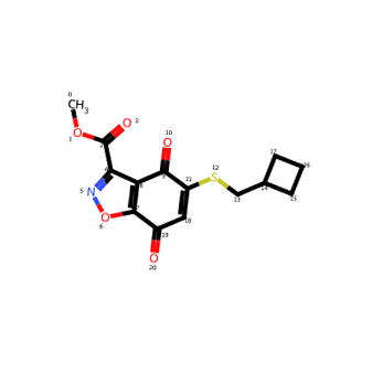 COC(=O)c1noc2c1C(=O)C(SCC1CCC1)=CC2=O